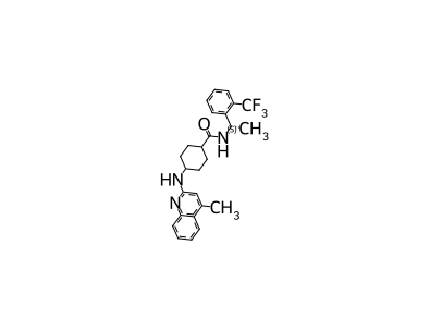 Cc1cc(NC2CCC(C(=O)N[C@@H](C)c3ccccc3C(F)(F)F)CC2)nc2ccccc12